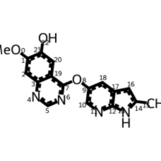 COc1cc2ncnc(Oc3cnc4[nH]c(C)cc4c3)c2cc1O